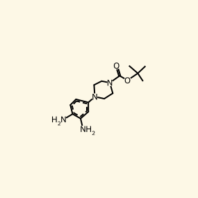 CC(C)(C)OC(=O)N1CCN(c2ccc(N)c(N)c2)CC1